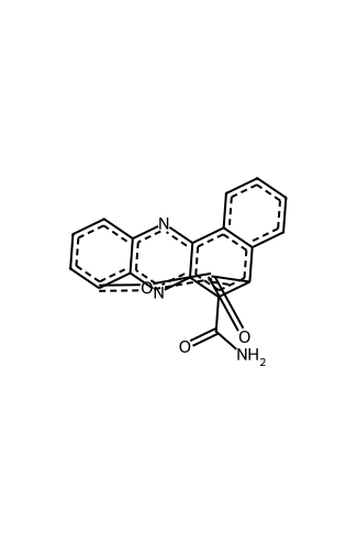 NC(=O)c1c2nc3c4cccc3oc(=O)c1c1ccccc1c2n4